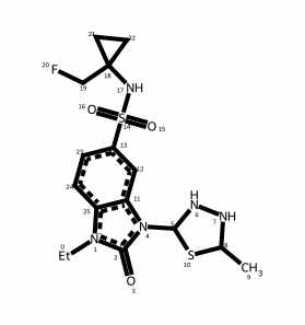 CCn1c(=O)n(C2NNC(C)S2)c2cc(S(=O)(=O)NC3(CF)CC3)ccc21